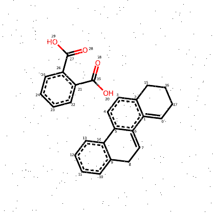 C1=c2c(ccc3c2=CCc2ccccc2-3)CCC1.O=C(O)c1ccccc1C(=O)O